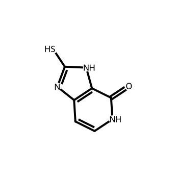 O=c1[nH]ccc2nc(S)[nH]c12